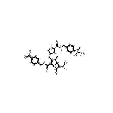 CC1C(S[C@@H]2CN[C@H](C(=O)NCc3ccc(S(N)(=O)=O)cc3)C2)=C(C(=O)OCc2ccc([N+](=O)[O-])cc2)N2C(=O)C([C@@H](C)O)C12